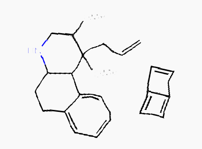 C=CCC1(OC)C(OC)CNC2CCc3ccccc3C21.c1cc2ccc1-2